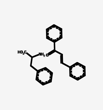 NC(Cc1ccccc1)C(=O)O.O=C(C=Cc1ccccc1)c1ccccc1